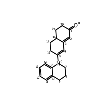 O=C1C=C2C=C(N3CCCc4ccccc43)CCC2CC1